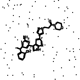 CC(c1cc(-c2c[nH]c3ncc(-c4cnn(CCC(=O)N5CCOCC5)c4)cc23)nc(N)n1)c1ccccc1O